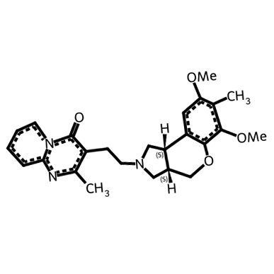 COc1cc2c(c(OC)c1C)OC[C@@H]1CN(CCc3c(C)nc4ccccn4c3=O)C[C@H]21